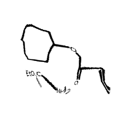 C=CC(=O)OC1CCCCC1.CCOC(N)=O